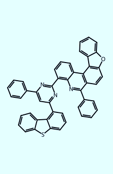 c1ccc(-c2cc(-c3cccc4sc5ccccc5c34)nc(-c3cccc4c3nc(-c3ccccc3)c3ccc5oc6ccccc6c5c34)n2)cc1